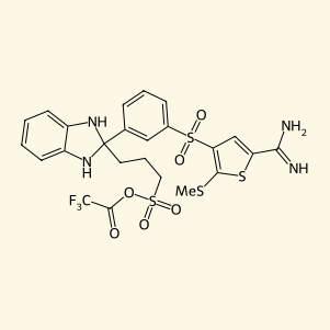 CSc1sc(C(=N)N)cc1S(=O)(=O)c1cccc(C2(CCCS(=O)(=O)OC(=O)C(F)(F)F)Nc3ccccc3N2)c1